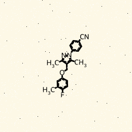 Cc1cc(OCc2c(C)nn(-c3ccc(C#N)cc3)c2C)ccc1F